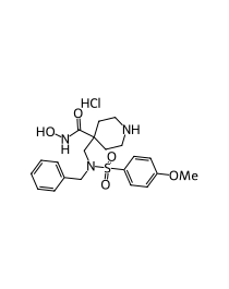 COc1ccc(S(=O)(=O)N(Cc2ccccc2)CC2(C(=O)NO)CCNCC2)cc1.Cl